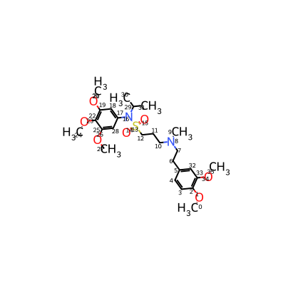 COc1ccc(CCN(C)CCCS(=O)(=O)N(c2cc(OC)c(OC)c(OC)c2)C(C)C)cc1OC